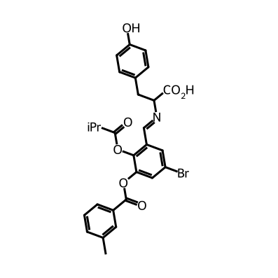 Cc1cccc(C(=O)Oc2cc(Br)cc(C=NC(Cc3ccc(O)cc3)C(=O)O)c2OC(=O)C(C)C)c1